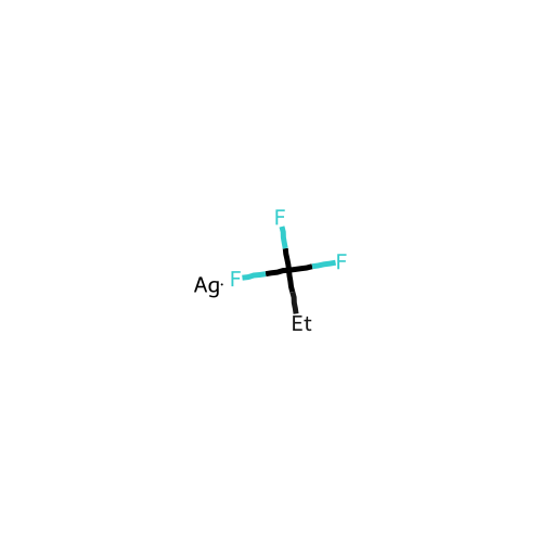 CCC(F)(F)F.[Ag]